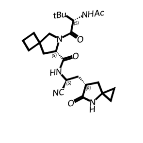 CC(=O)N[C@H](C(=O)N1CC2(CCC2)C[C@H]1C(=O)N[C@H](C#N)C[C@@H]1CC2(CC2)NC1=O)C(C)(C)C